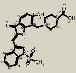 CS(=O)(=O)n1cc(/C=C2\Oc3c(ccc(O)c3CN3CCN(C(=O)O)CC3)C2=O)c2ccccc21